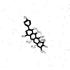 C=C1C2=C(O)[C@@]3(O)C(=O)C(C(C)=O)=C(C)C[C@@]3(C)C[C@@]2(C)Cc2c(C(C)C)cc(-c3ccc(CC)cc3)c(C)c21